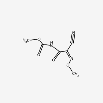 CON=C(C#N)C(=O)NC(=O)OC